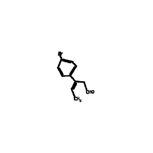 CC=C(CC=O)c1ccc(Br)cc1